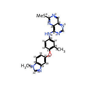 CSc1ncc2ncnc(Nc3ccc(Oc4ccc5c(c4)ncn5C)c(C)c3)c2n1